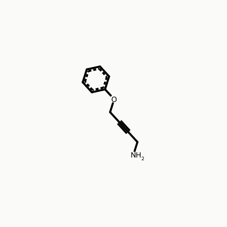 NCC#CCOc1ccccc1